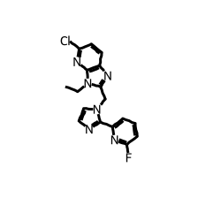 CCn1c(Cn2ccnc2-c2cccc(F)n2)nc2ccc(Cl)nc21